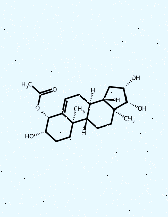 CC(=O)O[C@@H]1C2=CC[C@H]3[C@@H]4C[C@H](O)[C@H](O)[C@@]4(C)CC[C@@H]3[C@@]2(C)CC[C@@H]1O